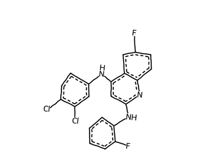 Fc1ccc2nc(Nc3ccccc3F)cc(Nc3ccc(Cl)c(Cl)c3)c2c1